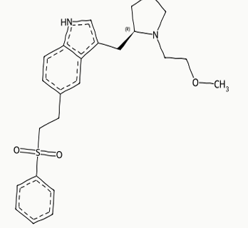 COCCN1CCC[C@@H]1Cc1c[nH]c2ccc(CCS(=O)(=O)c3ccccc3)cc12